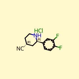 Cl.N#C[C@@H]1CCN[C@@H](c2ccc(F)c(F)c2)C1